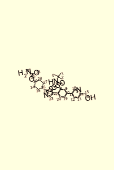 CC(C)(C)NS(=O)(=O)c1cc(-c2ccc(CO)nc2)ccc1-c1cnc([C@H]2CC[C@H](OC(N)=O)CC2)s1